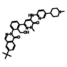 CN1CCC(c2ccc(Nc3cc(-c4cccc(-n5ncc6cc(C(C)(C)C)ccc6c5=O)c4CO)nn(C)c3=O)nc2)CC1